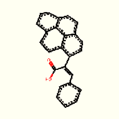 O=C(O)C(=Cc1ccccc1)c1ccc2ccc3cccc4ccc1c2c34